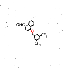 O=Cc1ccc(OCc2cc(C(F)(F)F)cc(C(F)(F)F)c2)c2ccccc12